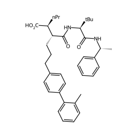 CCC[C@H](C(=O)O)[C@@H](CCCc1ccc(-c2ccccc2C)cc1)C(=O)N[C@H](C(=O)N[C@H](C)c1ccccc1)C(C)(C)C